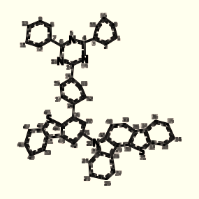 c1ccc(-c2nc(-c3ccccc3)nc(-c3ccc(-c4cc(-n5c6ccccc6c6c7sc8ccccc8c7ccc65)cc5c4sc4ccccc45)cc3)n2)cc1